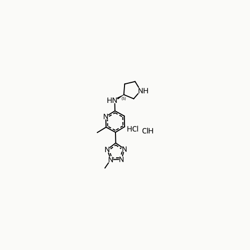 Cc1nc(N[C@H]2CCNC2)ccc1-c1nnn(C)n1.Cl.Cl